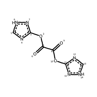 O=C(Oc1nc[nH]n1)C(=O)Oc1nc[nH]n1